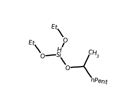 CCCCCC(C)O[SiH](OCC)OCC